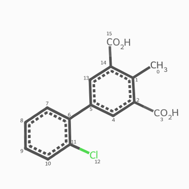 Cc1c(C(=O)O)cc(-c2ccccc2Cl)cc1C(=O)O